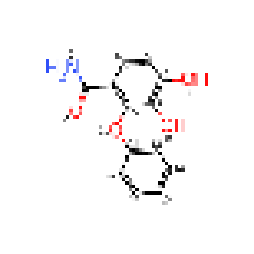 NC(=O)c1ccc(O)c(O)c1Oc1ccccc1